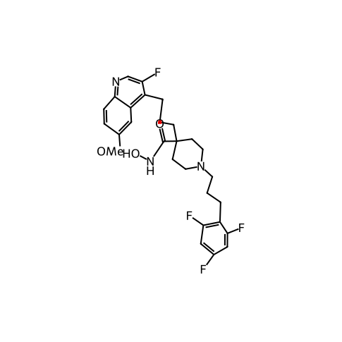 COc1ccc2ncc(F)c(CCCC3(C(=O)NO)CCN(CCCc4c(F)cc(F)cc4F)CC3)c2c1